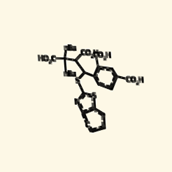 CCCCC(CCCC)(C(=O)O)C(C(=O)O)C(Sc1nc2ccccc2s1)c1ccc(C(=O)O)cc1C(=O)O